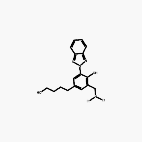 CCN(CC)Cc1cc(CCCCO)cc(-n2nc3ccccc3n2)c1O